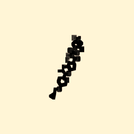 CC[C@@H](Oc1ccc(C(=O)NS(=O)(=O)N2C[C@@H]3C[C@H]2CN3C)c(F)c1F)c1ccc(OCC2CC2)cn1